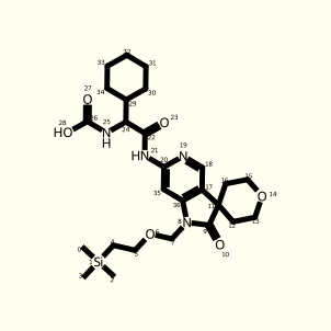 C[Si](C)(C)CCOCN1C(=O)C2(CCOCC2)c2cnc(NC(=O)C(NC(=O)O)C3CCCCC3)cc21